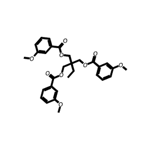 CCC(COC(=O)c1cccc(OC)c1)(COC(=O)c1cccc(OC)c1)COC(=O)c1cccc(OC)c1